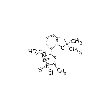 CCP(=S)(CC)N(C)SC(NC(=O)O)c1cccc2c1OC(C)(C)C2